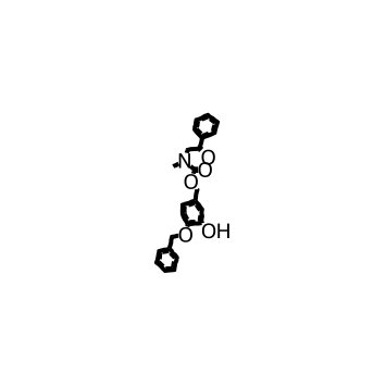 CN(CC(=O)c1ccccc1)C(=O)OCc1ccc(OCc2ccccc2)c(O)c1